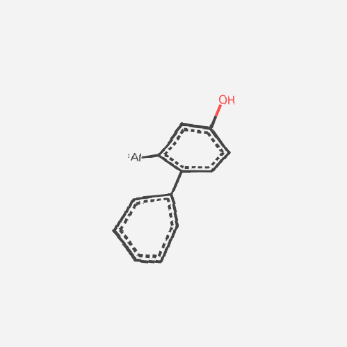 Oc1ccc(-c2ccccc2)[c]([Al])c1